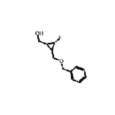 OCC1C(COCc2ccccc2)[C@@H]1F